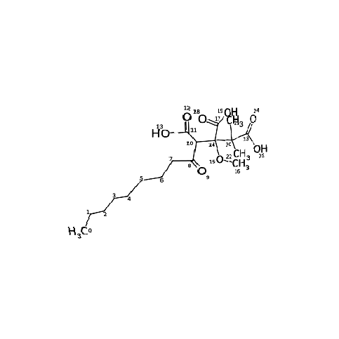 CCCCCCCCC(=O)C(C(=O)O)C(OC)(C(=O)O)C(C)(C)C(=O)O